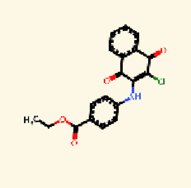 CCOC(=O)c1ccc(NC2=C(Cl)C(=O)c3ccccc3C2=O)cc1